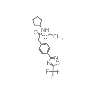 CCOP(=O)(Cc1ccc(-c2noc(C(F)(F)F)n2)cc1)NC1CCCC1